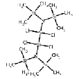 C[Si](C)(C)N([Si](C)(C)C)[Si](Cl)(Cl)[Si](Cl)(Cl)N([Si](C)(C)C)[Si](C)(C)C